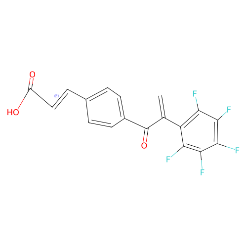 C=C(C(=O)c1ccc(/C=C/C(=O)O)cc1)c1c(F)c(F)c(F)c(F)c1F